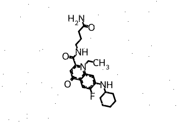 CCn1c(C(=O)NCCCC(N)=O)cc(=O)c2cc(F)c(NC3CCCCC3)cc21